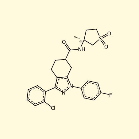 C[C@]1(NC(=O)C2CCc3c(-c4ccccc4Cl)nn(-c4ccc(F)cc4)c3C2)CCS(=O)(=O)C1